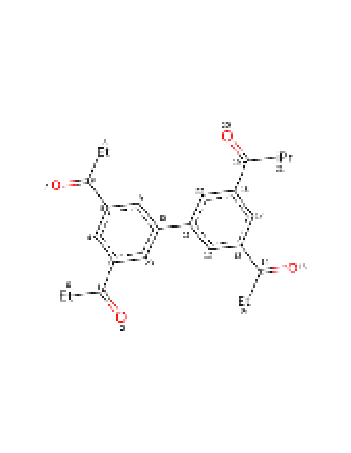 CCC(=O)c1cc(C(=O)CC)cc(-c2cc(C(=O)CC)cc(C(=O)C(C)C)c2)c1